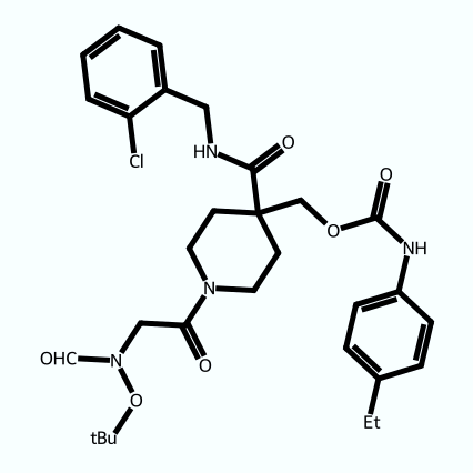 CCc1ccc(NC(=O)OCC2(C(=O)NCc3ccccc3Cl)CCN(C(=O)CN(C=O)OC(C)(C)C)CC2)cc1